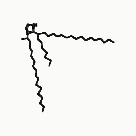 CCCCCCCCCCCCCCCCC(CCCCCCC)c1[nH]cc[n+]1C(C)CCCCCCCCCCCCCCCC